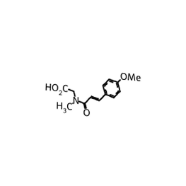 COc1ccc(C=CC(=O)N(C)CC(=O)O)cc1